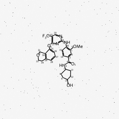 COc1cc(C(=O)NC2CCC(O)CC2)ccc1Nc1ncc(C(F)(F)F)c(Oc2cccc3c2COCC3)n1